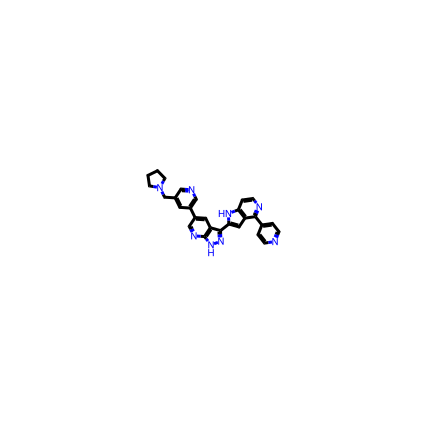 c1cc(-c2nccc3[nH]c(-c4n[nH]c5ncc(-c6cncc(CN7CCCC7)c6)cc45)cc23)ccn1